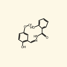 O=C(N/N=C\c1cc(OC(F)(F)F)ccc1O)c1ccccc1O